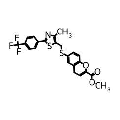 COC(=O)C1=CCc2cc(SCc3sc(-c4ccc(C(F)(F)F)cc4)nc3C)ccc2O1